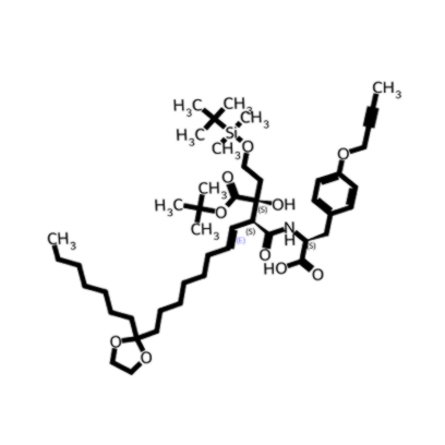 CC#CCOc1ccc(C[C@H](NC(=O)[C@@H](/C=C/CCCCCCC2(CCCCCCC)OCCO2)[C@@](O)(CCO[Si](C)(C)C(C)(C)C)C(=O)OC(C)(C)C)C(=O)O)cc1